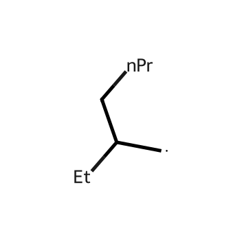 [CH2]CC([CH2])CCCC